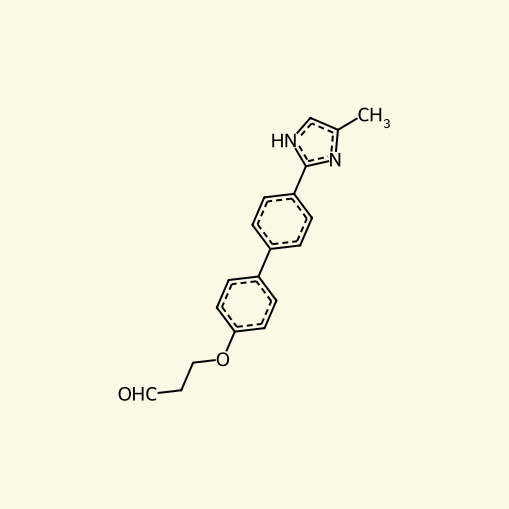 Cc1c[nH]c(-c2ccc(-c3ccc(OCCC=O)cc3)cc2)n1